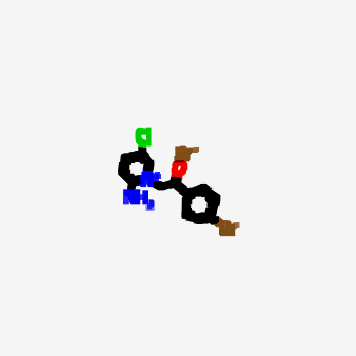 Nc1ccc(Cl)c[n+]1CC(=O)c1ccc(Br)cc1.[Br-]